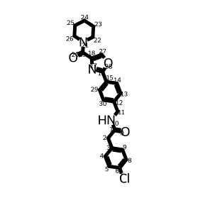 O=C(Cc1ccc(Cl)cc1)NCc1ccc(-c2nc(C(=O)N3CCCCC3)co2)cc1